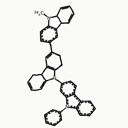 CN1c2ccc(C3=CC4=C(CC3)N(c3ccc5c6ccccc6n(-c6ccccc6)c5c3)C3=CC=CCC34)cc2C2C=CC=CC21